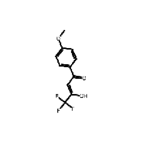 COc1ccc(C(=O)/C=C(\O)C(F)(F)F)cc1